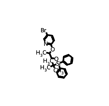 CC(CO[Si](c1ccccc1)(c1ccccc1)C(C)(C)C)Oc1ccc(Br)cn1